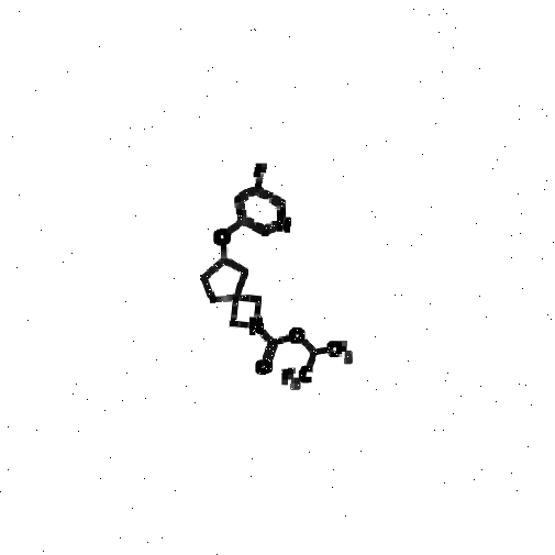 O=C(OC(C(F)(F)F)C(F)(F)F)N1CC2(CCC(Oc3cncc(F)c3)C2)C1